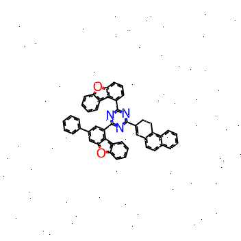 C1=C(c2nc(-c3cccc4oc5ccccc5c34)nc(-c3cc(-c4ccccc4)cc4oc5ccccc5c34)n2)CCc2c1ccc1ccccc21